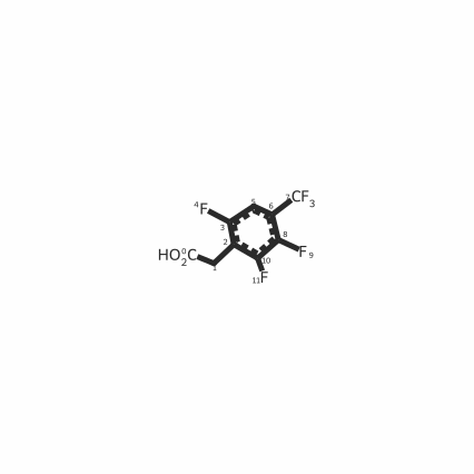 O=C(O)Cc1c(F)cc(C(F)(F)F)c(F)c1F